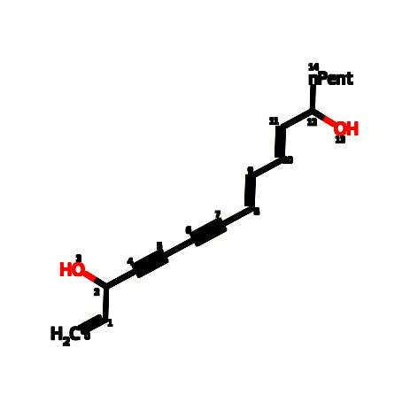 C=CC(O)C#CC#CC=CC=CC(O)CCCCC